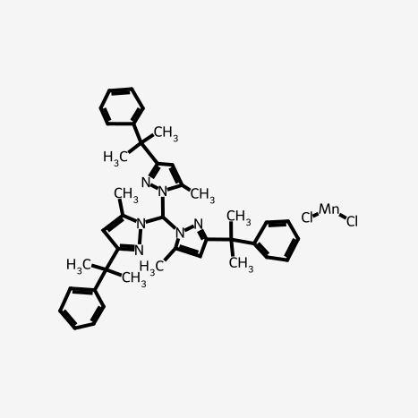 Cc1cc(C(C)(C)c2ccccc2)nn1C(n1nc(C(C)(C)c2ccccc2)cc1C)n1nc(C(C)(C)c2ccccc2)cc1C.[Cl][Mn][Cl]